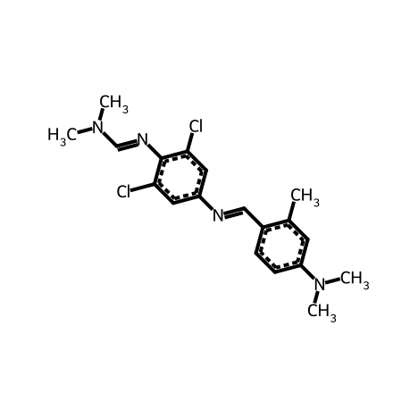 Cc1cc(N(C)C)ccc1C=Nc1cc(Cl)c(N=CN(C)C)c(Cl)c1